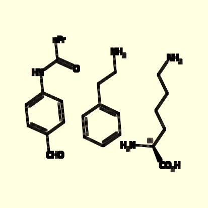 CCCC(=O)Nc1ccc(C=O)cc1.NCCCC[C@H](N)C(=O)O.NCCc1ccccc1